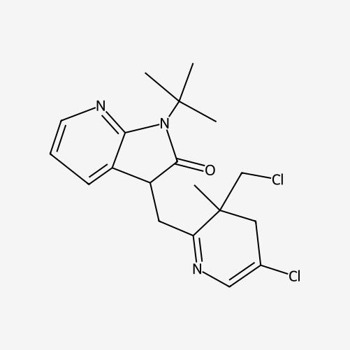 CC1(CCl)CC(Cl)=CN=C1CC1C(=O)N(C(C)(C)C)c2ncccc21